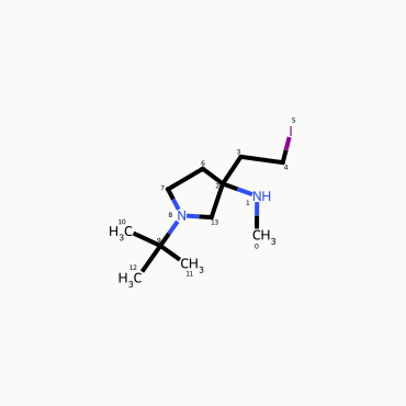 CNC1(CCI)CCN(C(C)(C)C)C1